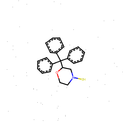 SN1CCOC(C(c2ccccc2)(c2ccccc2)c2ccccc2)C1